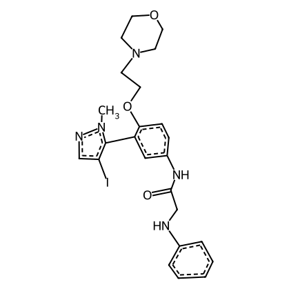 Cn1ncc(I)c1-c1cc(NC(=O)CNc2ccccc2)ccc1OCCN1CCOCC1